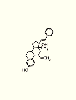 C=CC1CC2(C)C(CC[C@@]2(O)/C=C/c2ccccc2)C2CCc3cc(O)ccc3C12